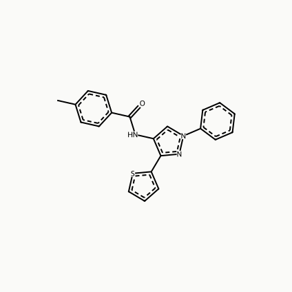 Cc1ccc(C(=O)Nc2cn(-c3ccccc3)nc2-c2cccs2)cc1